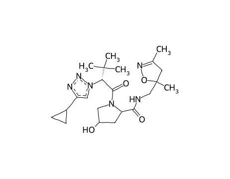 CC1=NOC(C)(CNC(=O)C2CC(O)CN2C(=O)[C@H](n2cc(C3CC3)nn2)C(C)(C)C)C1